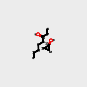 CCCCCC(=O)CC.O=C1CC1